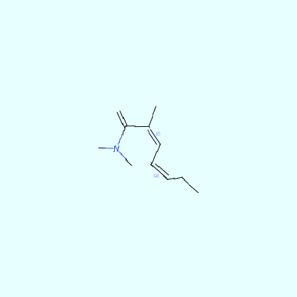 C=C(/C(C)=C\C=C/CC)N(C)C